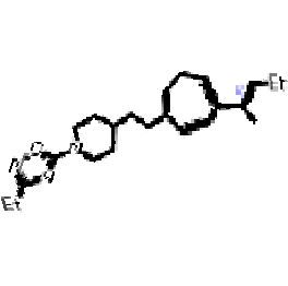 CC/C=C(\C)C1=CCC=C(CCC2CCN(c3nc(CC)no3)CC2)C=C1